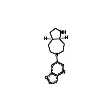 c1cc2ncc(N3CC[C@H]4CCN[C@H]4CC3)cc2o1